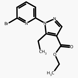 CCOC(=O)c1cnn(-c2cccc(Br)n2)c1CC